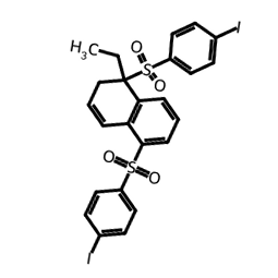 CCC1(S(=O)(=O)c2ccc(I)cc2)CC=Cc2c1cccc2S(=O)(=O)c1ccc(I)cc1